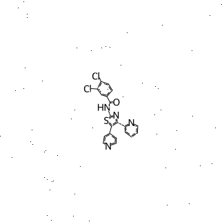 O=C(Nc1nc(-c2ccccn2)c(-c2ccncc2)s1)c1ccc(Cl)c(Cl)c1